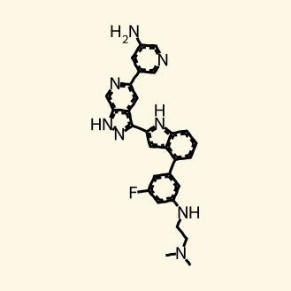 CN(C)CCNc1cc(F)cc(-c2cccc3[nH]c(-c4n[nH]c5cnc(-c6cncc(N)c6)cc45)cc23)c1